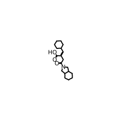 O=C(O)/C(=C\C1CCCCC1)CC(=O)N1CC2CCCCC2C1